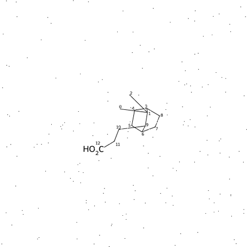 CC1(C)C2CCC(CC2)C1CCC(=O)O